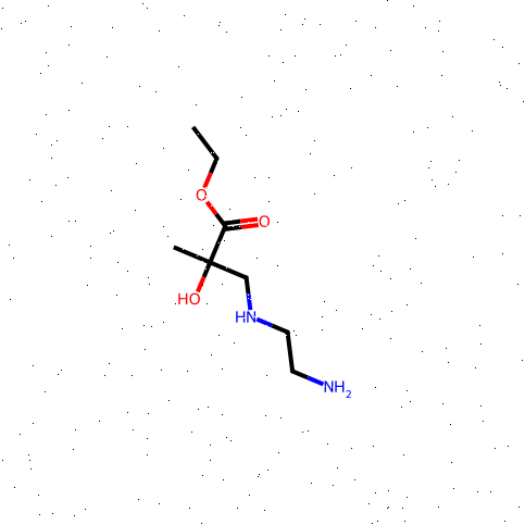 CCOC(=O)C(C)(O)CNCCN